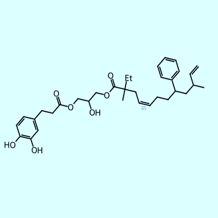 C=CC(C)CC(CC/C=C\CC(C)(CC)C(=O)OCC(O)COC(=O)CCc1ccc(O)c(O)c1)c1ccccc1